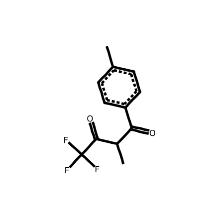 Cc1ccc(C(=O)C(C)C(=O)C(F)(F)F)cc1